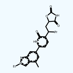 CCn1cc2c(C)cc(-c3ccc(C(CC4OC(=O)NC4=O)C(C)C)c(=O)[nH]3)cc2n1